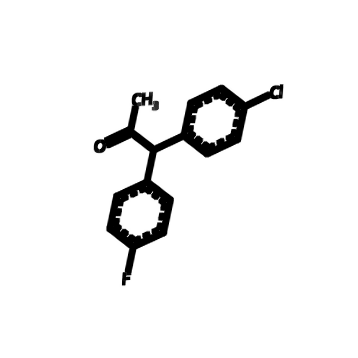 CC(=O)C(c1ccc(F)cc1)c1ccc(Cl)cc1